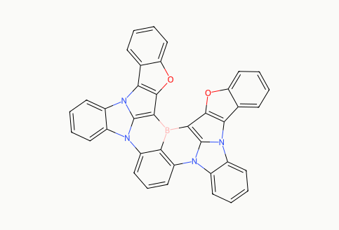 c1cc2c3c(c1)-n1c4ccccc4n4c5c(oc6ccccc65)c(c14)B3c1c3oc4ccccc4c3n3c4ccccc4n-2c13